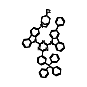 CCC1CC2CC(C1)N(c1ccc3c4ccccc4n(-c4nc(-c5cccc(S(c6ccccc6)(c6ccccc6)c6ccccc6)c5)nc(-n5c6ccccc6c6cc(-c7ccccc7)ccc65)n4)c3c1)C2